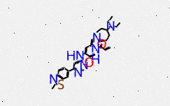 C=CC(=O)NC(=C\N1CCCC(N(CC)CC)CC1)/C=C(/Nc1cc(-c2ccc3nc(C)sc3c2)ncn1)C(=C)OC